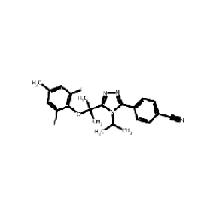 Cc1cc(F)c(OC(C)(C)c2nnc(-c3ccc(C#N)cc3)n2C(C)C)c(F)c1